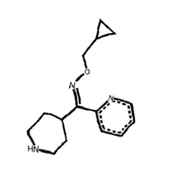 c1ccc(/C(=N\OCC2CC2)C2CCNCC2)nc1